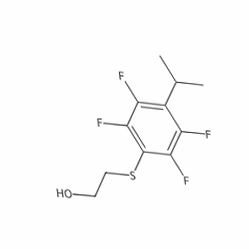 CC(C)c1c(F)c(F)c(SCCO)c(F)c1F